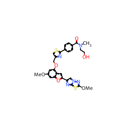 COc1cc(OCc2csc(-c3ccc(C(=O)N(C)CCO)cc3)n2)c2cc(-c3cn4nc(OC)sc4n3)oc2c1